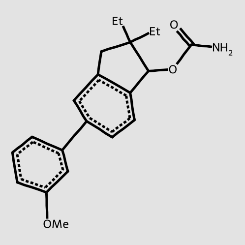 CCC1(CC)Cc2cc(-c3cccc(OC)c3)ccc2C1OC(N)=O